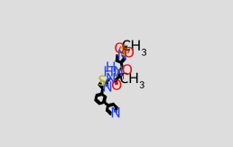 C[C@H](NC(=O)c1ccn(S(C)(=O)=O)c1)C(=O)Nc1nc(-c2cccc(-c3ccncc3)c2)cs1